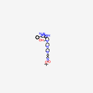 CC1c2c([nH]c(N)c2/C=C(\N)c2ccccc2O)CCN1C1CCN(C2CCN(C3CC4(C3)CN(C(=O)OC(C)(C)C)C4)CC2)CC1